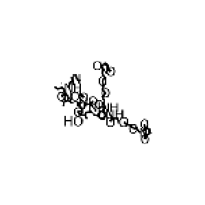 CC[C@H](C)[C@H](NCC(C)(C)N(C)C)C(=O)N(C)C(C[C@@H](OC(C)=O)c1nc(C(=O)N[C@@H](Cc2ccc(NC(=O)CCOCCOCCN3C(=O)C=CC3=O)c(NC(=O)CCOCCOCCN3C(=O)C=CC3=O)c2)CC(C)C(=O)O)cs1)C(C)C